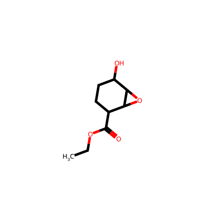 CCOC(=O)C1CCC(O)C2OC12